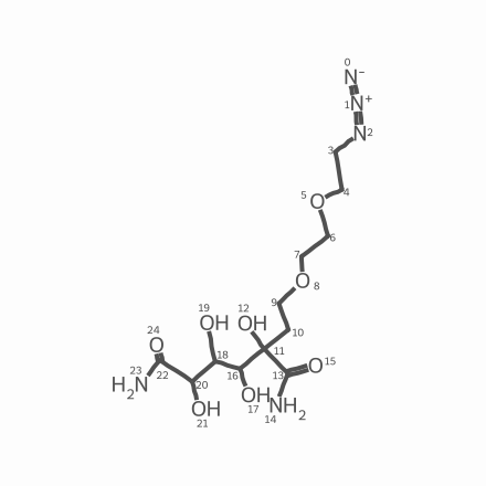 [N-]=[N+]=NCCOCCOCCC(O)(C(N)=O)C(O)C(O)C(O)C(N)=O